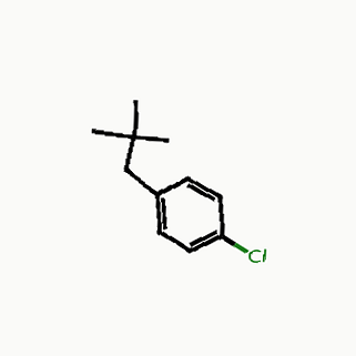 CC(C)(C)Cc1ccc(Cl)cc1